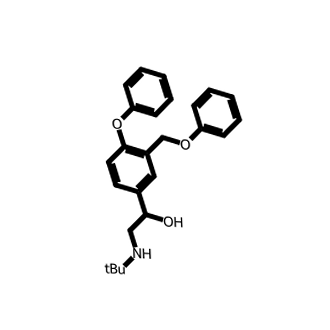 CC(C)(C)NCC(O)c1ccc(Oc2ccccc2)c(COc2ccccc2)c1